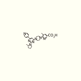 Cc1cc(C(=O)O)cnc1N1CCN(c2cc(-c3ccncc3)nc(N3CCCC3C)n2)CC1